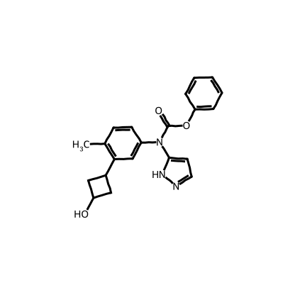 Cc1ccc(N(C(=O)Oc2ccccc2)c2ccn[nH]2)cc1C1CC(O)C1